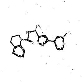 C[C@@H](NC(=O)N1CCCc2ccccc21)c1cc(-c2ccnc(C(F)(F)F)c2)no1